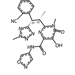 C[C@H](c1nc(C(=O)Nc2cnoc2)c(O)c(=O)n1C)[C@H](c1nnn(C)n1)c1ccccc1C#N